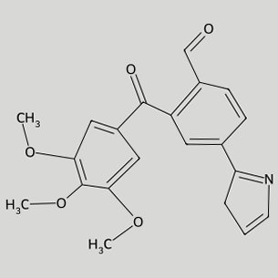 COc1cc(C(=O)c2cc(C3=NC=CC3)ccc2C=O)cc(OC)c1OC